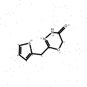 O=C1COC(Cc2cccs2)=NN1